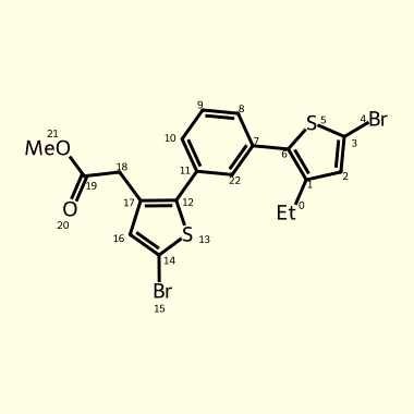 CCc1cc(Br)sc1-c1cccc(-c2sc(Br)cc2CC(=O)OC)c1